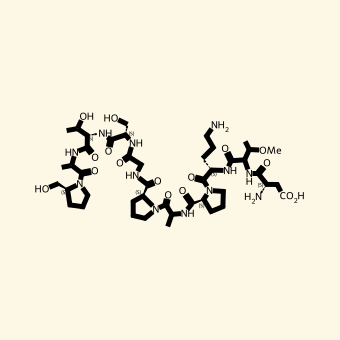 COC(C)C(NC(=O)[C@@H](N)CC(=O)O)C(=O)N[C@@H](CCCN)C(=O)N1CCC[C@H]1C(=O)NC(C)C(=O)N1CCC[C@H]1C(=O)NCC(=O)N[C@@H](CO)C(=O)N[C@H](C(=O)NC(C)C(=O)N1CCC[C@H]1CO)C(C)O